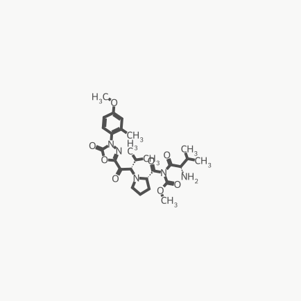 COC(=O)N(C(=O)[C@@H](N)C(C)C)C(=O)[C@@H]1CCCN1[C@H](C(=O)c1nn(-c2ccc(OC)cc2C)c(=O)o1)C(C)C